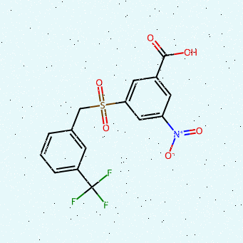 O=C(O)c1cc([N+](=O)[O-])cc(S(=O)(=O)Cc2cccc(C(F)(F)F)c2)c1